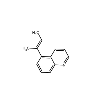 CC=C(C)c1cccc2ncccc12